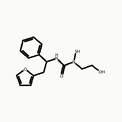 O=C(NC(Cc1ccco1)c1ccccc1)N(S)CCO